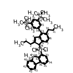 CCCC1=Cc2c(ccc(CCC)c2-c2cc([Si](C)(C)C)cc([Si](C)(C)C)c2)[CH]1[Zr]([Cl])([Cl])[c]1cccc2c1[SiH2]c1ccccc1-2